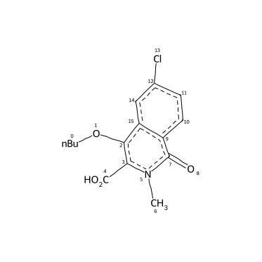 CCCCOc1c(C(=O)O)n(C)c(=O)c2ccc(Cl)cc12